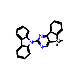 C[Si]1(C)c2ccccc2-c2nc(-n3c4ccccc4c4ccccc43)ncc21